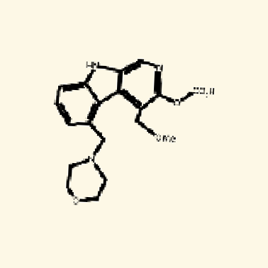 COCc1c(OC(=O)O)ncc2[nH]c3cccc(CN4CCOCC4)c3c12